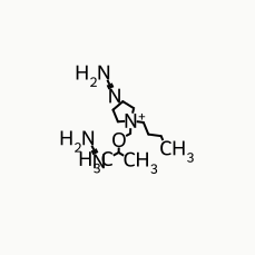 CCCC[N+]1(COC(C)C)CCCC1.N#CN.N#CN